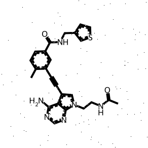 CC(=O)NCCn1cc(C#Cc2cc(C(=O)NCc3ccsc3)ccc2C)c2c(N)ncnc21